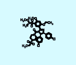 CCOc1cc(OC)c(S(=O)(=O)N(C)OC)cc1C1=N[C@@H](c2ccc(Cl)cc2)[C@@H](c2ccc(Cl)cc2)N1C(=O)N1CCN(S(=O)(=O)CC)CC1